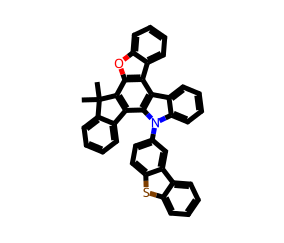 CC1(C)c2ccccc2-c2c1c1oc3ccccc3c1c1c3ccccc3n(-c3ccc4sc5ccccc5c4c3)c21